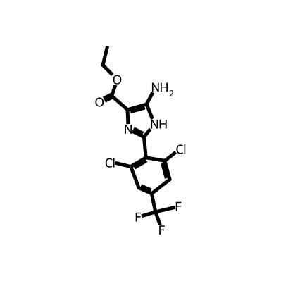 CCOC(=O)c1nc(-c2c(Cl)cc(C(F)(F)F)cc2Cl)[nH]c1N